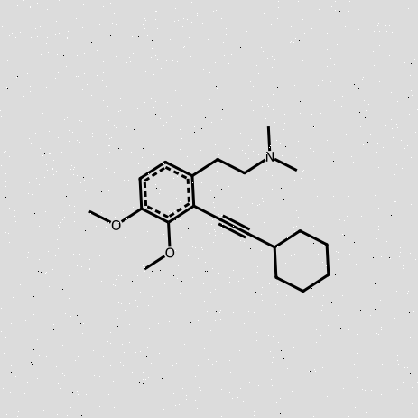 COc1ccc(CCN(C)C)c(C#CC2CCCCC2)c1OC